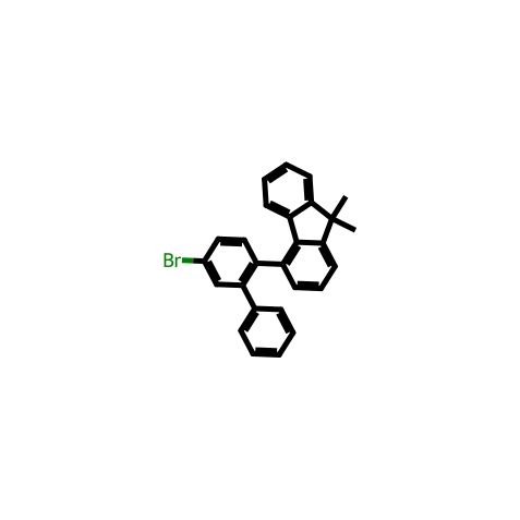 CC1(C)c2ccccc2-c2c(-c3ccc(Br)cc3-c3ccccc3)cccc21